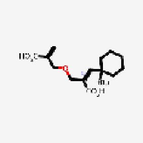 C=C(COC/C(=C/C1(C(C)(C)C)CCCCC1)C(=O)O)C(=O)O